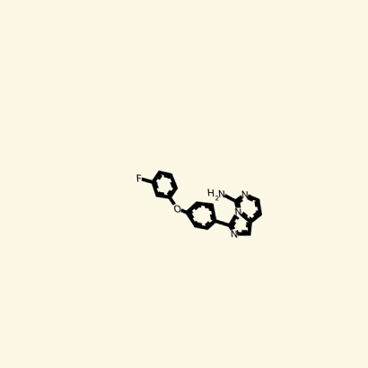 Nc1nccc2cnc(-c3ccc(Oc4cccc(F)c4)cc3)n12